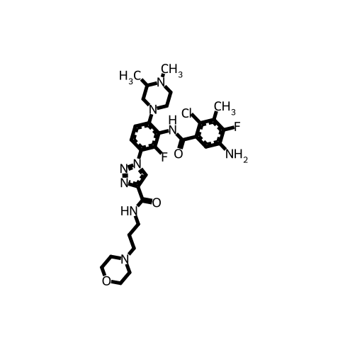 Cc1c(F)c(N)cc(C(=O)Nc2c(N3CCN(C)C(C)C3)ccc(-n3cc(C(=O)NCCCN4CCOCC4)nn3)c2F)c1Cl